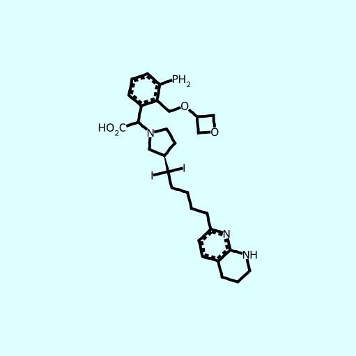 O=C(O)C(c1cccc(P)c1COC1COC1)N1CC[C@@H](C(I)(I)CCCCc2ccc3c(n2)NCCC3)C1